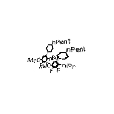 CCCCC[C@H]1CC[C@H](c2cc(OC)c(F)c(F)c2CCC)CC1.CCCCC[C@H]1CC[C@H](c2cc(OC)c(F)c(F)c2CCCC)CC1